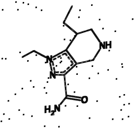 CCC1CNCc2c(C(N)=O)nn(CC)c21